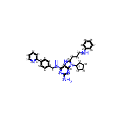 Nc1nc(NCc2ccc(-c3ccccn3)cc2)c2nc(CCCNc3ccccc3)n(C3CCCC3)c2n1